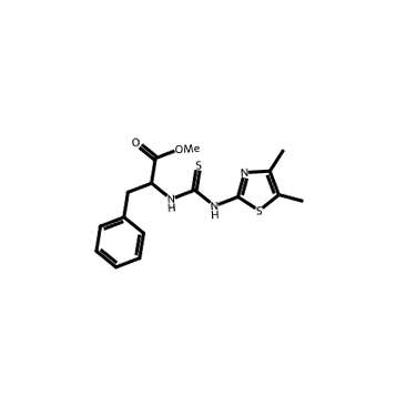 COC(=O)C(Cc1ccccc1)NC(=S)Nc1nc(C)c(C)s1